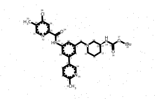 Cc1ccc(-c2cc(CN3CCC[C@H](NC(=O)OC(C)(C)C)C3)cc(NC(=O)c3cc(Cl)c(C)cn3)c2)cn1